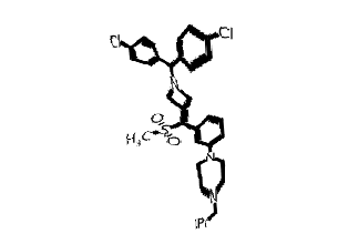 CC(C)CN1CCN(c2cccc(C(=C3CN(C(c4ccc(Cl)cc4)c4ccc(Cl)cc4)C3)S(C)(=O)=O)c2)CC1